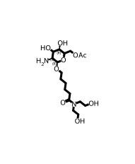 CC(=O)OCC1O[C@@H](OCCCCCC(=O)N(CCO)CCO)[C@@H](N)C(O)[C@H]1O